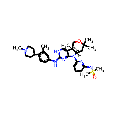 Cc1cc(NC2N=C3C(=CN2)[C@@]2(C)COC(C)(C)C[C@H]2N3C2=CCCC(N=S(C)(C)=O)=N2)ccc1C1CCN(C)CC1